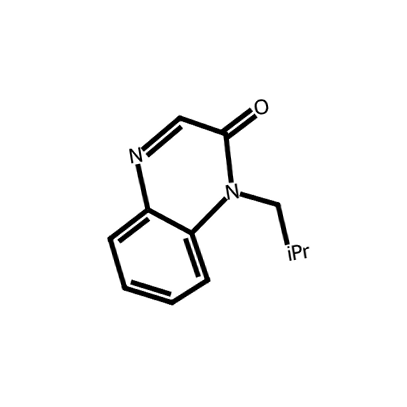 CC(C)Cn1c(=O)cnc2ccccc21